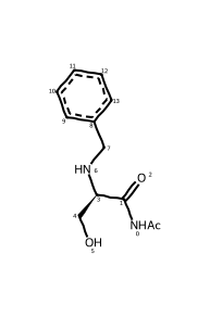 CC(=O)NC(=O)[C@@H](CO)NCc1ccccc1